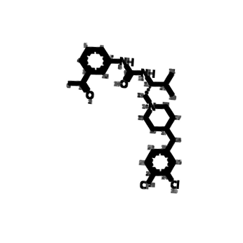 CC(=O)c1cccc(NC(=O)N[C@@H](CN2CCC(Cc3ccc(Cl)c(Cl)c3)CC2)C(C)C)c1